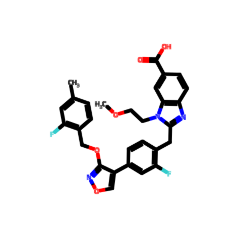 COCCn1c(Cc2ccc(-c3conc3OCc3ccc(C)cc3F)cc2F)nc2ccc(C(=O)O)cc21